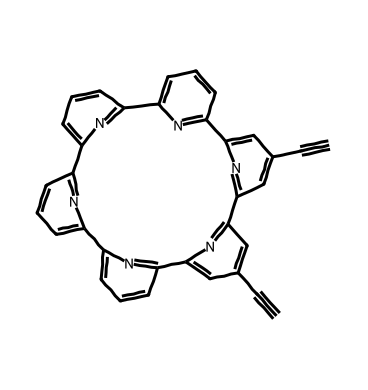 C#Cc1cc2nc(c1)c1cc(C#C)cc(n1)c1cccc(n1)c1cccc(n1)c1cccc(n1)c1cccc2n1